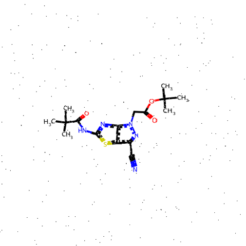 CC(C)(C)OC(=O)Cn1nc(C#N)c2sc(NC(=O)C(C)(C)C)nc21